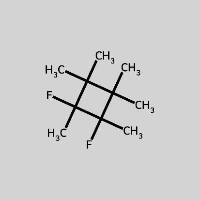 CC1(C)C(C)(C)C(C)(F)C1(C)F